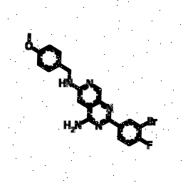 COc1ccc(CNc2cc3c(N)nc(-c4ccc(F)c(Br)c4)nc3cn2)cc1